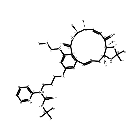 COCOc1cc(OCCCN(C(=O)OC(C)(C)C)c2ccccn2)cc2c1C(=O)O[C@@H](C)[C@H](C)/C=C\C(=O)[C@H]1OC(C)(C)O[C@H]1C/C=C/2